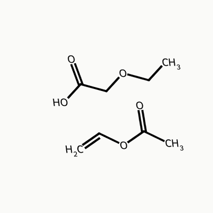 C=COC(C)=O.CCOCC(=O)O